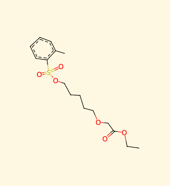 CCOC(=O)COCCCCCOS(=O)(=O)c1ccccc1C